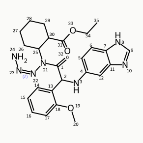 C=C(C(Nc1ccc2[nH]cnc2c1)c1ccccc1OC)N(/N=N\N)C1CCCCC1C(=O)OCC